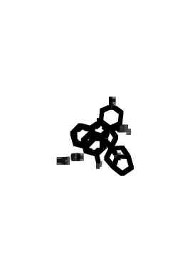 Cc1nc2ccccc2n1C1CC2CCC(C1)N2CCC1(c2cccc(F)c2)CCNCC1.Cl.Cl